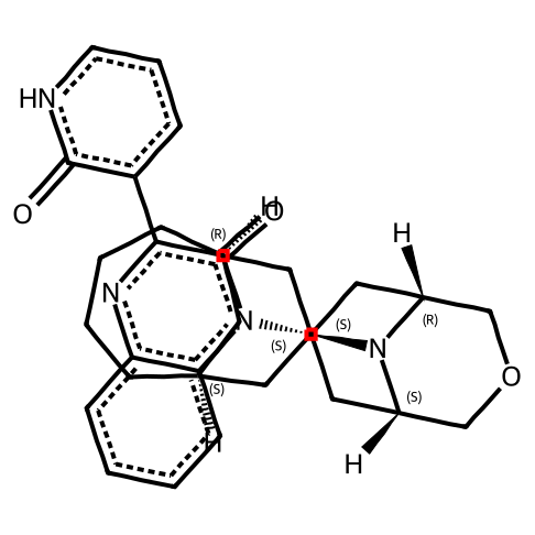 O=c1[nH]cccc1-c1nc2ccccc2n([C@H]2C[C@H]3COC[C@@H](C2)N3[C@@H]2C[C@@H]3CCCC[C@@H](C3)C2)c1=O